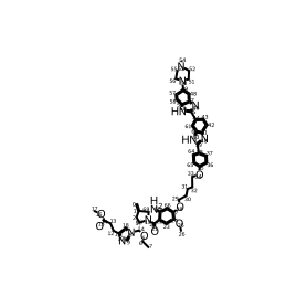 C=C1C[C@@H](C(OCC)n2cnc(CCC(=O)OC)c2)N(C(=O)c2cc(OC)c(OCCCCCOc3ccc(-c4nc5ccc(-c6nc7cc(N8CCN(C)CC8)ccc7[nH]6)cc5[nH]4)cc3)cc2N)C1